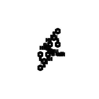 O=S(=O)(O)c1cc(Nc2cc(Sc3ccccc3)nc(Sc3ccccc3)n2)ccc1/C=C/c1ccc(Nc2cc(Sc3ccccc3)nc(Sc3ccccc3)n2)cc1S(=O)(=O)O.[NaH].[NaH]